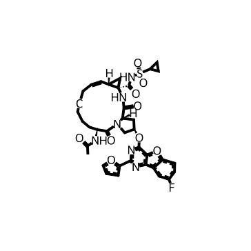 CC(=O)N[C@H]1CCCCC/C=C\[C@@H]2C[C@@]2(C(=O)NS(=O)(=O)C2CC2)NC(=O)[C@@H]2C[C@@H](Oc3nc(-c4ccco4)nc4c3oc3ccc(F)cc34)CN2C1=O